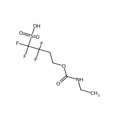 CCNC(=O)OCCC(F)(F)C(F)(F)S(=O)(=O)O